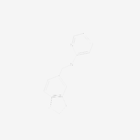 c1ccc(NCc2ccc3c(c2)CCO3)nc1